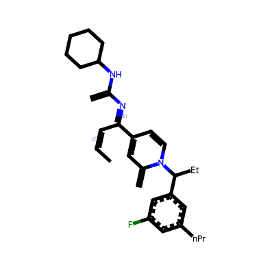 C=C(/N=C(\C=C/C)C1=CC(=C)N(C(CC)c2cc(F)cc(CCC)c2)C=C1)NC1CCCCC1